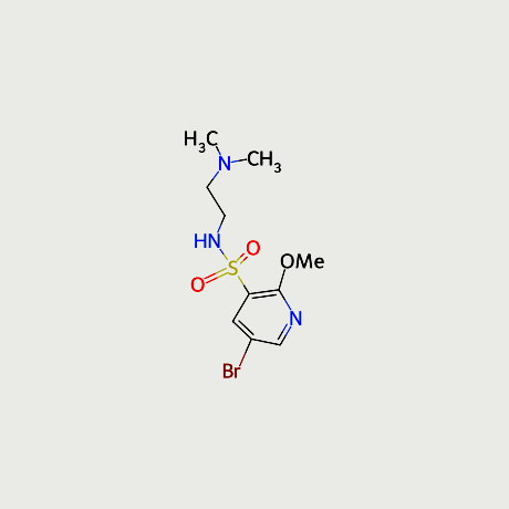 COc1ncc(Br)cc1S(=O)(=O)NCCN(C)C